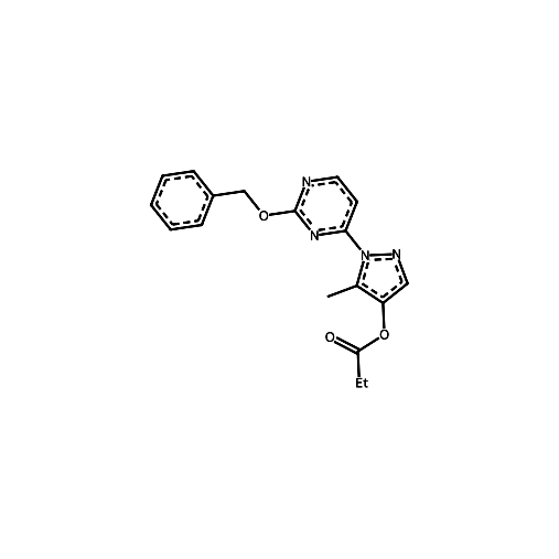 CCC(=O)Oc1cnn(-c2ccnc(OCc3ccccc3)n2)c1C